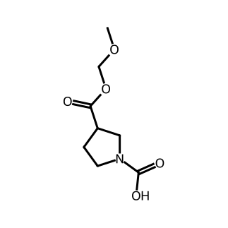 COCOC(=O)C1CCN(C(=O)O)C1